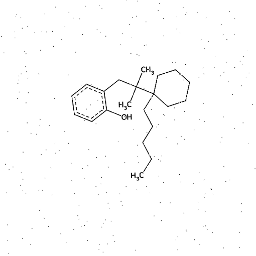 CCCCCC1(C(C)(C)Cc2ccccc2O)CCCCC1